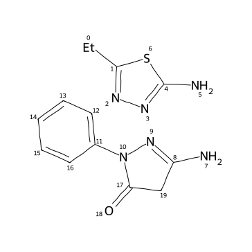 CCc1nnc(N)s1.NC1=NN(c2ccccc2)C(=O)C1